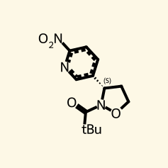 CC(C)(C)C(=O)N1OCC[C@H]1c1ccc([N+](=O)[O-])nc1